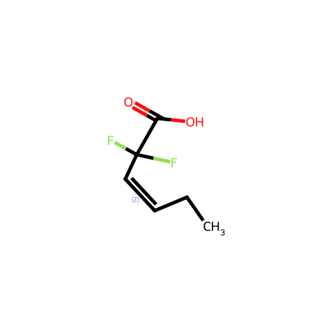 CC/C=C\C(F)(F)C(=O)O